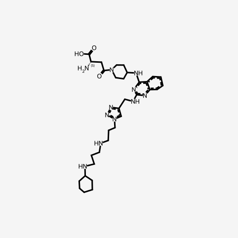 N[C@@H](CC(=O)N1CCC(Nc2nc(NCc3cn(CCCNCCCNC4CCCCC4)nn3)nc3ccccc23)CC1)C(=O)O